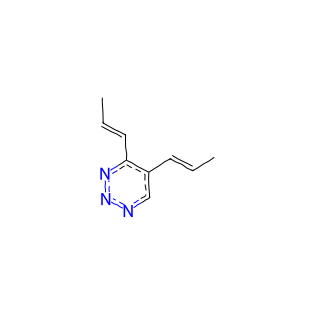 CC=Cc1cnnnc1C=CC